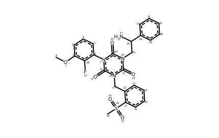 COc1cccc(-n2c(=O)n(Cc3ccccc3S(C)(=O)=O)c(=O)n(CC(N)c3ccccc3)c2=O)c1F